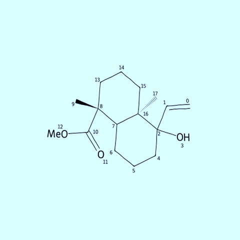 C=CC1(O)CCCC2[C@](C)(C(=O)OC)CCC[C@]21C